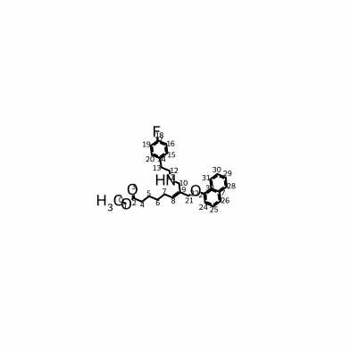 COC(=O)CCCCC=C(CNCCc1ccc(F)cc1)COc1cccc2ccccc12